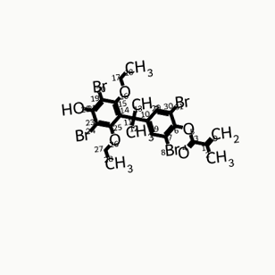 C=C(C)C(=O)Oc1c(Br)cc(C(C)(C)c2c(OCC)c(Br)c(O)c(Br)c2OCC)cc1Br